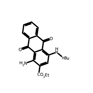 CCCCNc1cc(C(=O)OCC)c(N)c2c1C(=O)c1ccccc1C2=O